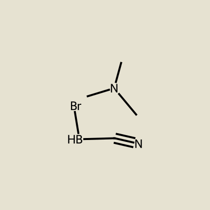 CN(C)C.N#CBBr